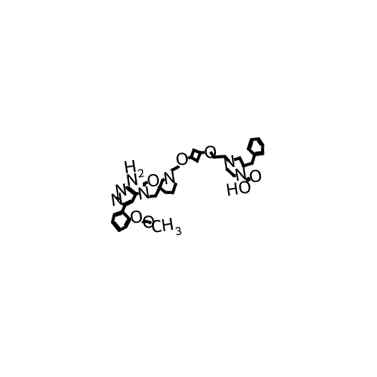 COCOc1ccccc1-c1cc(N2CCC3(CCCN(CCOC4CC(OCCN5CCN(C(=O)O)C(Cc6ccccc6)C5)C4)C3)OC2)c(N)nn1